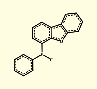 ClP(c1ccccc1)c1cccc2c1oc1ccccc12